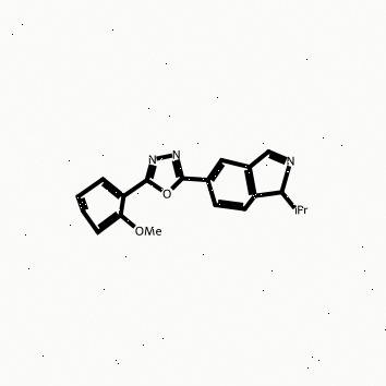 COc1ccccc1-c1nnc(-c2ccc3c(c2)C=NC3C(C)C)o1